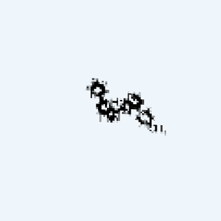 CN1CCN(c2ccnc3[nH]c(-c4n[nH]c5ccc(-c6ccccn6)nc45)nc23)CC1